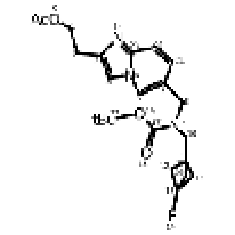 CC(=O)OCCc1cn2cc(CN(CC34CC(F)(C3)C4)C(=O)OC(C)(C)C)ccc2n1